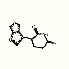 O=C1CCC(c2coc3cscc23)C(=O)N1